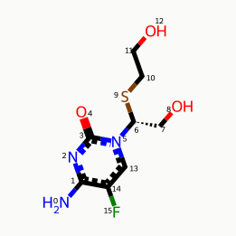 Nc1nc(=O)n([C@@H](CO)SCCO)cc1F